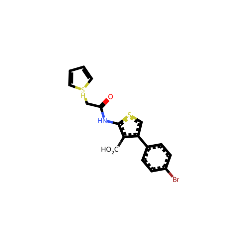 O=C(C[SH]1C=CC=C1)Nc1scc(-c2ccc(Br)cc2)c1C(=O)O